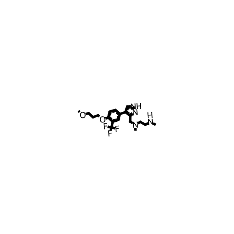 CNCCN(C)Cc1n[nH]cc1-c1ccc(OCCCOC)c(C(F)(F)F)c1